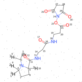 [2H]C(C(C)C)N1C([2H])([2H])CCC1([2H])C(=O)NCCC(=O)NCCC(=O)ON1C(=O)CCC1=O